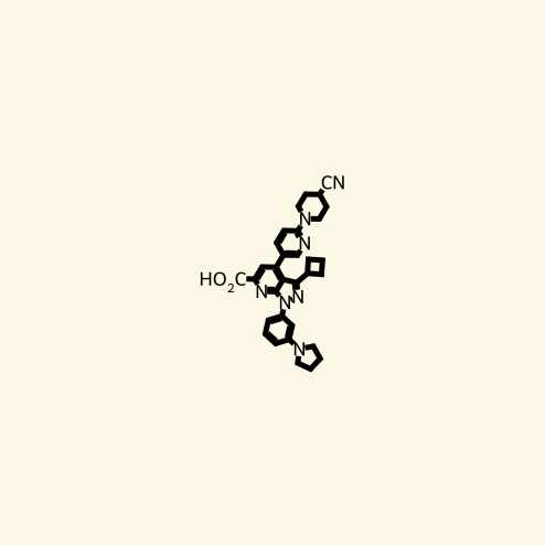 N#CC1CCN(c2ccc(-c3cc(C(=O)O)nc4c3c(C3CCC3)nn4-c3cccc(N4CCCC4)c3)cn2)CC1